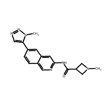 CN1CC(C(=O)Nc2cc3cc(-c4cnnn4C)ccc3cn2)C1